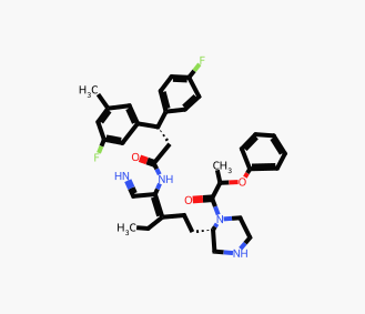 CC/C(CC[C@H]1CNCCN1C(=O)C(C)Oc1ccccc1)=C(\C=N)NC(=O)C[C@@H](c1ccc(F)cc1)c1cc(C)cc(F)c1